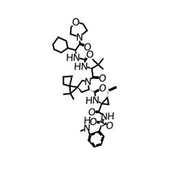 C=C[C@@H]1C[C@]1(NC(=O)[C@@H]1C[C@@]2(CN1C(=O)[C@@H](NC(=O)N[C@H](C(=O)N1CCOCC1)C1CCCCC1)C(C)(C)C)C(C)(C)C21CCC1)C(=O)NS(=O)(=O)c1ccccc1NC